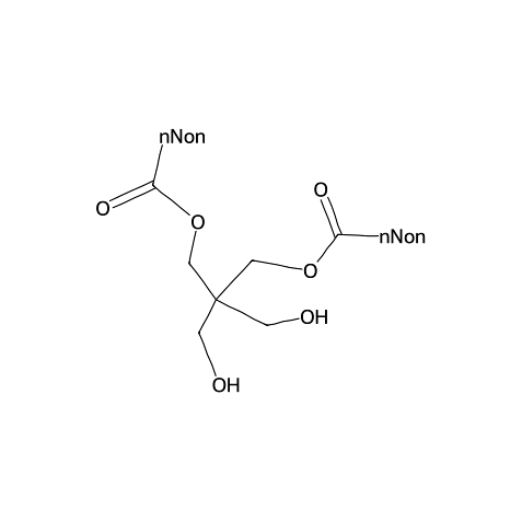 CCCCCCCCCC(=O)OCC(CO)(CO)COC(=O)CCCCCCCCC